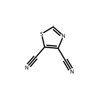 N#Cc1n[c]sc1C#N